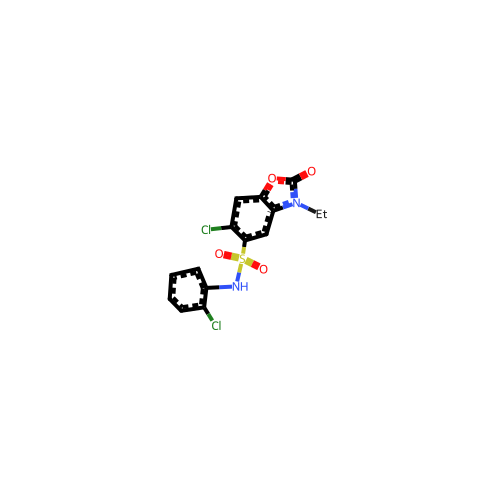 CCn1c(=O)oc2cc(Cl)c(S(=O)(=O)Nc3ccccc3Cl)cc21